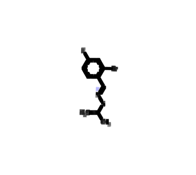 C=C(C)S/N=C/c1ccc(F)cc1Br